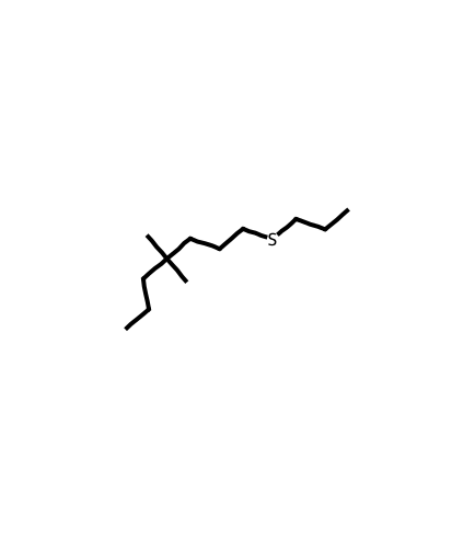 CCCSCCCC(C)(C)CCC